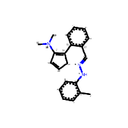 Cc1ccccc1NN=Cc1ccccc1C1=C(N(C)C)C=CC1